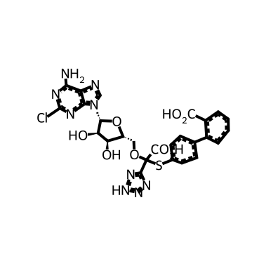 Nc1nc(Cl)nc2c1ncn2[C@@H]1O[C@H](COC(Sc2ccc(-c3ccccc3C(=O)O)cc2)(C(=O)O)c2nn[nH]n2)[C@@H](O)[C@H]1O